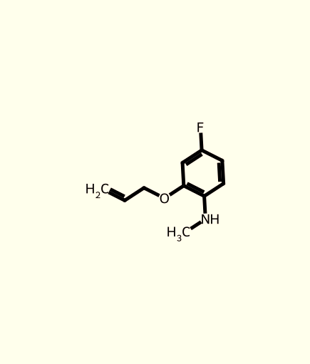 C=CCOc1cc(F)ccc1NC